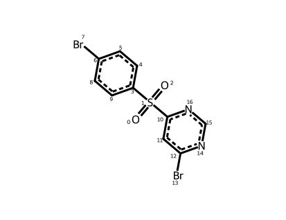 O=S(=O)(c1ccc(Br)cc1)c1cc(Br)ncn1